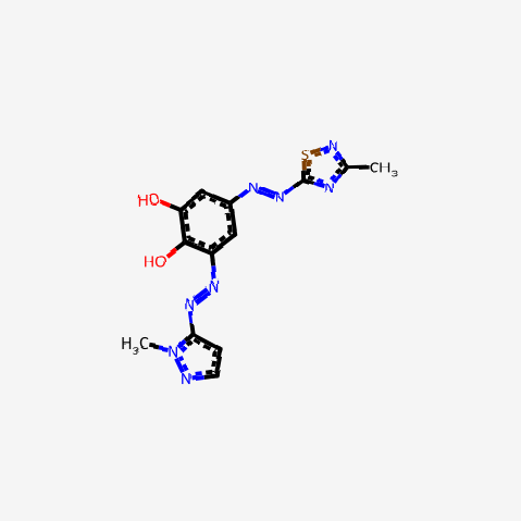 Cc1nsc(/N=N/c2cc(O)c(O)c(/N=N/c3ccnn3C)c2)n1